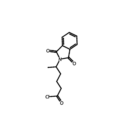 CC(CCCC(=O)Cl)N1C(=O)c2ccccc2C1=O